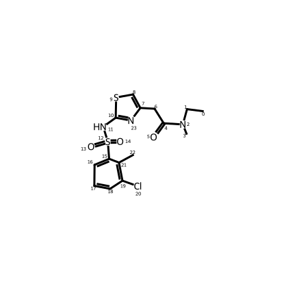 CCN(C)C(=O)Cc1csc(NS(=O)(=O)c2cccc(Cl)c2C)n1